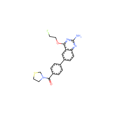 Nc1nc(OCCF)c2cc(-c3ccc(C(=O)N4CCSC4)cc3)ccc2n1